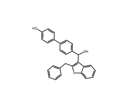 Oc1ccc(-c2ccc(C(O)c3c(Cc4ccccc4)sc4ccccc34)cc2)cc1